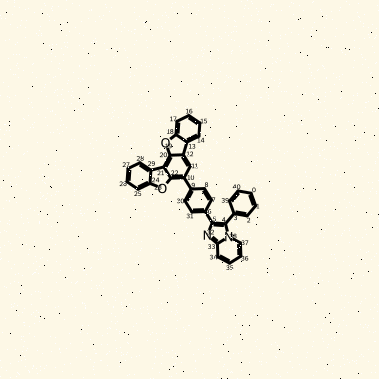 c1ccc(-c2c(-c3ccc(-c4cc5c6ccccc6oc5c5c4oc4ccccc45)cc3)nc3ccccn23)cc1